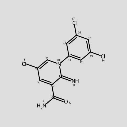 N=c1c(C(N)=O)cc(Cl)cn1-c1cc(Cl)cc(Cl)c1